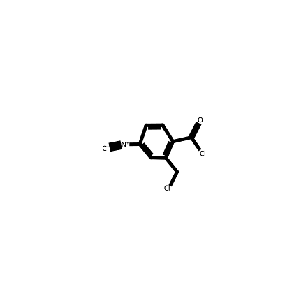 [C-]#[N+]c1ccc(C(=O)Cl)c(CCl)c1